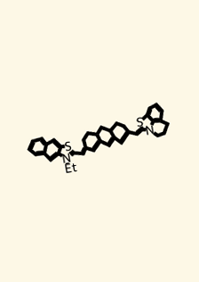 CC[n+]1c(/C=C2/C=C3C=C4C=C(/C=C5\Sc6cccc7c6N5CCC7)CCC4CC3CC2)sc2cc3ccccc3cc21